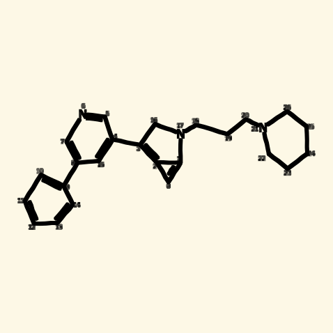 C1=C2C1=C(c1cncc(-c3ccccc3)c1)CN2CCCN1CCCCC1